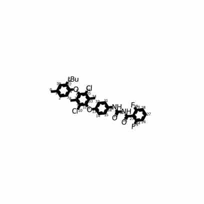 Cc1ccc(Oc2c(C)c(Cl)c(Oc3ccc(NC(=O)NC(=O)c4c(F)cccc4F)cc3)c(C)c2Cl)c(C(C)(C)C)c1